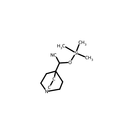 C[Si](C)(C)OC(C#N)C12CCN(CC1)CC2